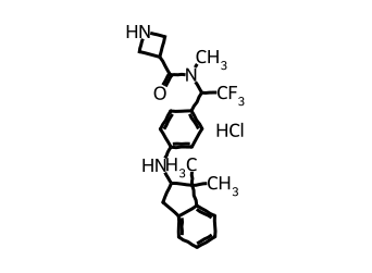 CN(C(=O)C1CNC1)C(c1ccc(NC2Cc3ccccc3C2(C)C)cc1)C(F)(F)F.Cl